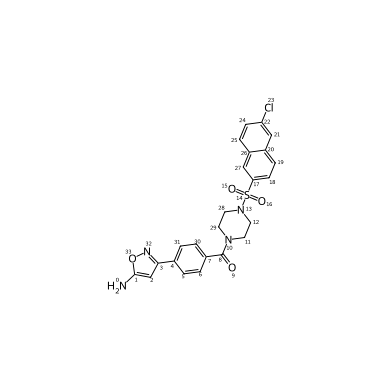 Nc1cc(-c2ccc(C(=O)N3CCN(S(=O)(=O)c4ccc5cc(Cl)ccc5c4)CC3)cc2)no1